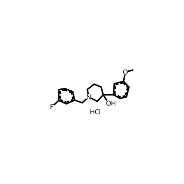 COc1cccc(C2(O)CCCN(Cc3cccc(F)c3)C2)c1.Cl